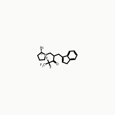 CC(=O)[C@@H]1CCCN1CC(CC1=CCc2ccccc21)C(=O)C(F)(F)C(F)(F)F